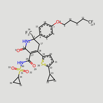 O=C1NC(c2ccc(OCCCCC(F)(F)F)cc2)(C(F)(F)F)CC(c2ccc(C3CC3)s2)=C1C(=O)NS(=O)(=O)C1CC1